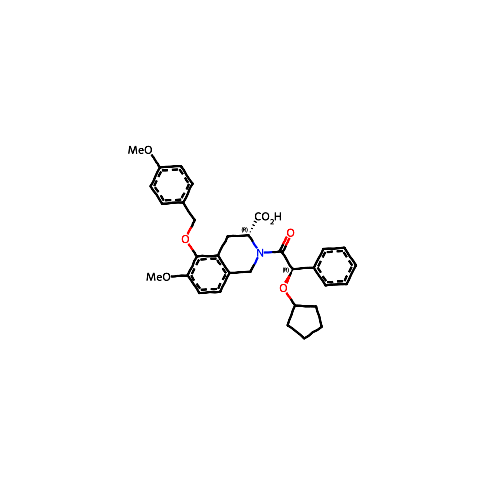 COc1ccc(COc2c(OC)ccc3c2C[C@H](C(=O)O)N(C(=O)[C@H](OC2CCCC2)c2ccccc2)C3)cc1